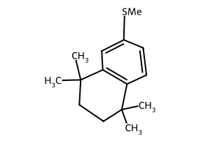 CSc1ccc2c(c1)C(C)(C)CCC2(C)C